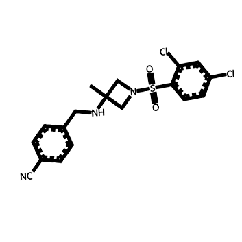 CC1(NCc2ccc(C#N)cc2)CN(S(=O)(=O)c2ccc(Cl)cc2Cl)C1